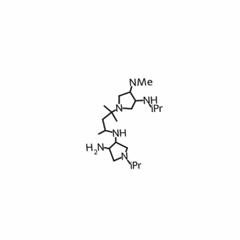 CNC1CN(C(C)(C)CC(C)NC2CN(C(C)C)CC2N)CC1NC(C)C